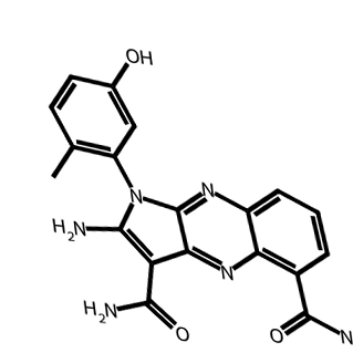 Cc1ccc(O)cc1-n1c(N)c(C(N)=O)c2nc3c(C(N)=O)cccc3nc21